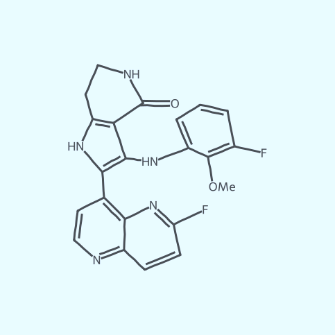 COc1c(F)cccc1Nc1c(-c2ccnc3ccc(F)nc23)[nH]c2c1C(=O)NCC2